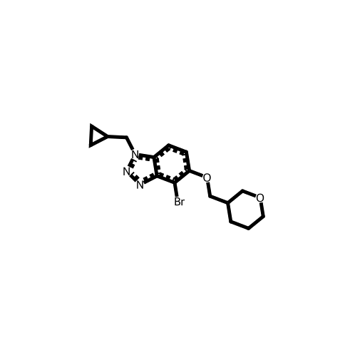 Brc1c(OCC2CCCOC2)ccc2c1nnn2CC1CC1